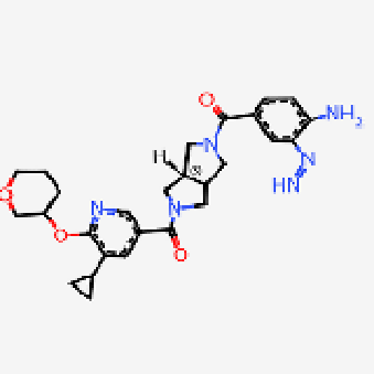 N=Nc1cc(C(=O)N2CC3CN(C(=O)c4cnc(OC5CCCOC5)c(C5CC5)c4)C[C@@H]3C2)ccc1N